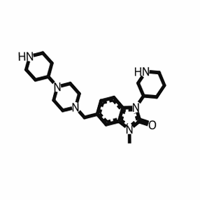 Cn1c(=O)n(C2CCCNC2)c2ccc(CN3CCN(C4CCNCC4)CC3)cc21